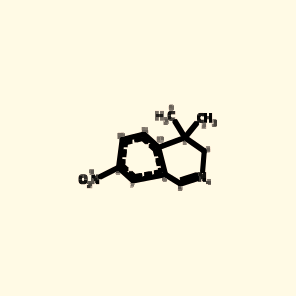 CC1(C)CN=Cc2cc([N+](=O)[O-])ccc21